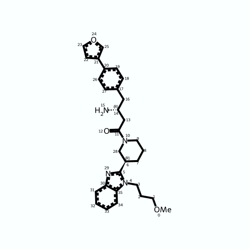 COCCCn1c([C@@H]2CCCN(C(=O)C[C@H](N)Cc3ccc(-c4ccoc4)cc3)C2)nc2ccccc21